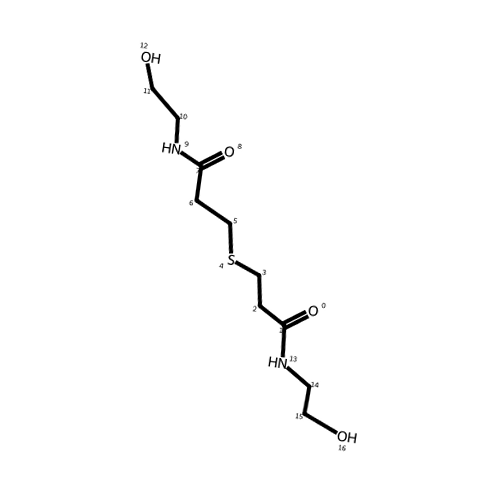 O=C(CCSCCC(=O)NCCO)NCCO